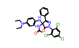 CCN(CC)c1ccc(NC2(NC(C)=O)C(=O)N(c3c(Cl)cc(Cl)cc3Cl)N=C2c2ccccc2)cc1